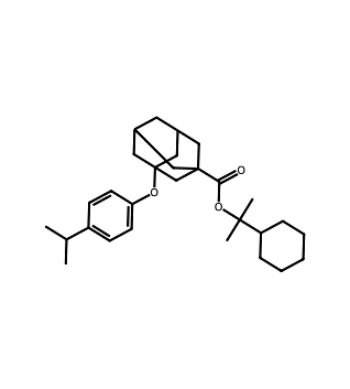 CC(C)c1ccc(OC23CC4CC(C2)CC(C(=O)OC(C)(C)C2CCCCC2)(C4)C3)cc1